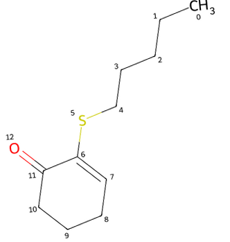 CCCCCSC1=CCCCC1=O